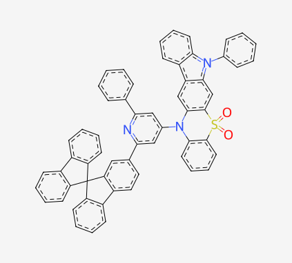 O=S1(=O)c2ccccc2N(c2cc(-c3ccccc3)nc(-c3ccc4c(c3)C3(c5ccccc5-c5ccccc53)c3ccccc3-4)c2)c2cc3c4ccccc4n(-c4ccccc4)c3cc21